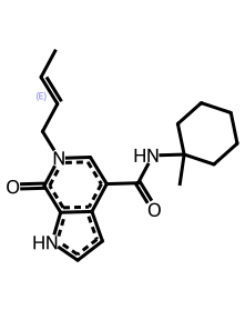 C/C=C/Cn1cc(C(=O)NC2(C)CCCCC2)c2cc[nH]c2c1=O